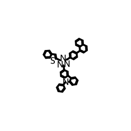 c1ccc(-n2c3ccccc3c3cc(-c4nc(-c5ccc(-c6cccc7ccccc67)cc5)nc(-c5cc6ccccc6s5)n4)ccc32)cc1